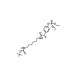 CCOP(=O)(OCC)Oc1ccc(C(F)C(=O)NCCCCCCNC(=O)OC(C)(C)C)cc1